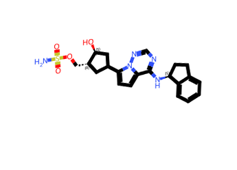 NS(=O)(=O)OC[C@H]1CC(c2ccc3c(N[C@H]4CCc5ccccc54)ncnn23)C[C@@H]1O